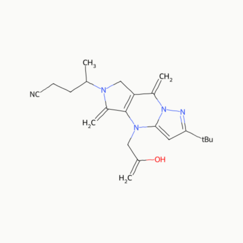 C=C(O)CN1C2=C(CN(C(C)CCC#N)C2=C)C(=C)n2nc(C(C)(C)C)cc21